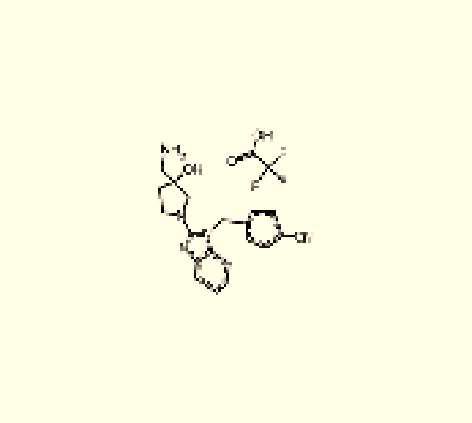 N#Cc1ccc(Cn2c(N3CC[C@](O)(CN)C3)nc3ccccc32)cc1.O=C(O)C(F)(F)F